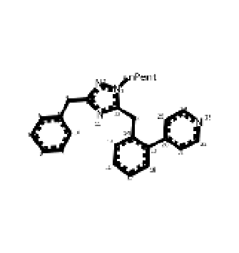 CCCCCn1nc(Cc2ccccc2)nc1Cc1ccccc1-c1[c]cncc1